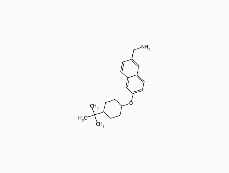 CC(C)(C)C1CCC(Oc2ccc3cc(CN)ccc3c2)CC1